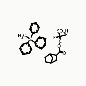 CS(c1ccccc1)(c1ccccc1)c1ccccc1.O=C(OCC(F)(F)S(=O)(=O)O)C1CC2CCC1C2